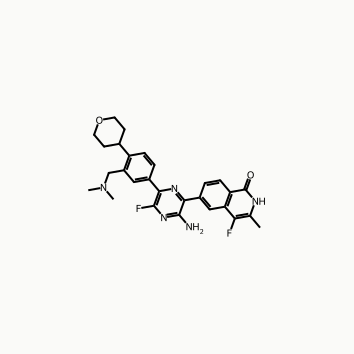 Cc1[nH]c(=O)c2ccc(-c3nc(-c4ccc(C5CCOCC5)c(CN(C)C)c4)c(F)nc3N)cc2c1F